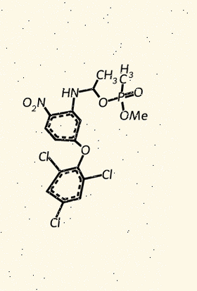 COP(C)(=O)OC(C)Nc1cc(Oc2c(Cl)cc(Cl)cc2Cl)ccc1[N+](=O)[O-]